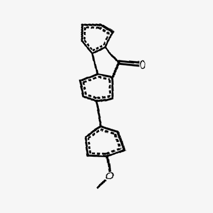 COc1ccc(-c2ccc3c(c2)C(=O)c2ccccc2-3)cc1